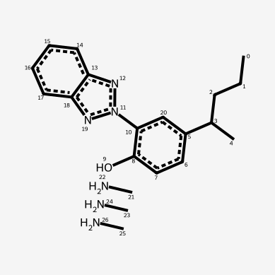 CCCC(C)c1ccc(O)c(-n2nc3ccccc3n2)c1.CN.CN.CN